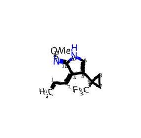 C=C/C=C1/C(C2(C(F)(F)F)CC2)=CN/C1=N\OC